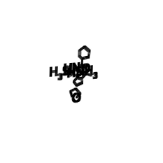 C1CCOC1.CCC1=[C]([Hf]([CH3])([SiH3])([SiH3])[NH]C(=O)c2ccccc2)CC=C1